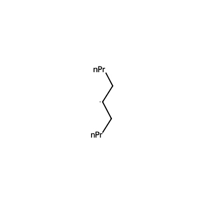 C[CH]CC[CH]CCCC